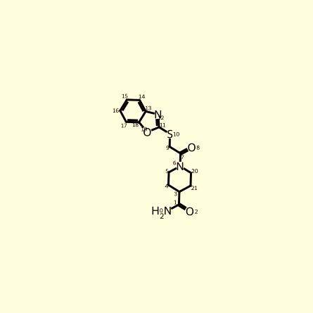 NC(=O)C1CCN(C(=O)CSc2nc3ccccc3o2)CC1